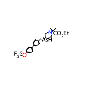 CCOC(=O)C(C)(C)N1CCC([AsH]Cc2ccc(-c3ccc(OC(F)(F)F)cc3)cc2)CC1